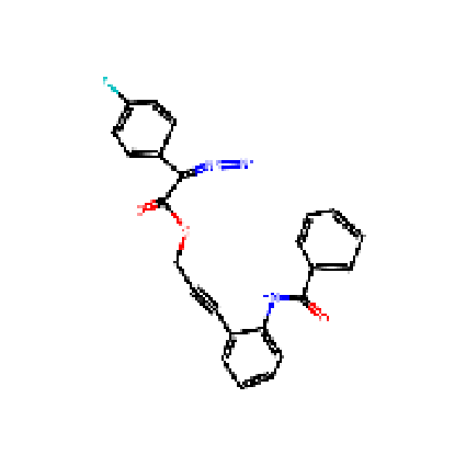 [N-]=[N+]=C(C(=O)OCC#Cc1ccccc1NC(=O)c1ccccc1)c1ccc(F)cc1